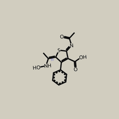 CC(=O)N=C1S/C(=C(\C)NO)C(c2ccccc2)=C1C(=O)O